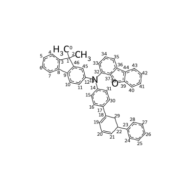 CC1(C)c2ccccc2-c2ccc(N(c3ccc(C4=CC=CC(c5ccccc5)C4)cc3)c3cccc4c3oc3ccccc34)cc21